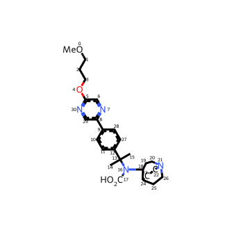 COCCCOc1cnc(-c2ccc(C(C)(C)N(C(=O)O)C3CCN4CCC3CC4)cc2)cn1